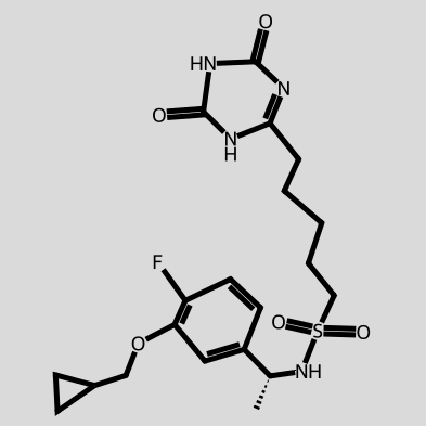 C[C@@H](NS(=O)(=O)CCCCCc1nc(=O)[nH]c(=O)[nH]1)c1ccc(F)c(OCC2CC2)c1